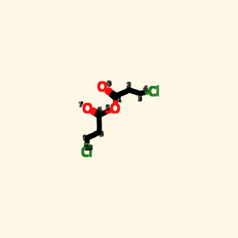 O=C(CCCl)OC(=O)CCCl